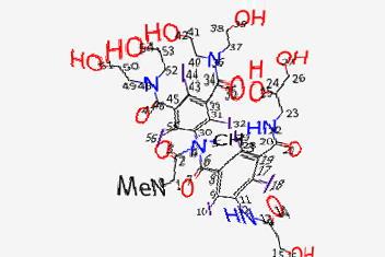 CNCC(=O)[N+](C)(C(=O)c1c(I)c(NC(=O)CO)c(I)c(C(=O)NCC(O)CO)c1I)c1c(I)c(C(=O)N(CCO)CCO)c(I)c(C(=O)N(CCO)CCO)c1I